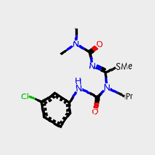 CSC(=NC(=O)N(C)C)N(C(=O)Nc1cccc(Cl)c1)C(C)C